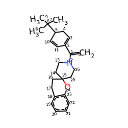 C=C(C1=CCC(C(C)(C)C)C=C1)N1CCC2(CCc3ccccc3O2)CC1